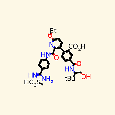 CCOc1ccc(-c2ccc(C(=O)NC(CO)C(C)(C)C)cc2C(=O)O)c(C(=O)Nc2ccc(C(=N)N)cc2)n1.CS(=O)(=O)O